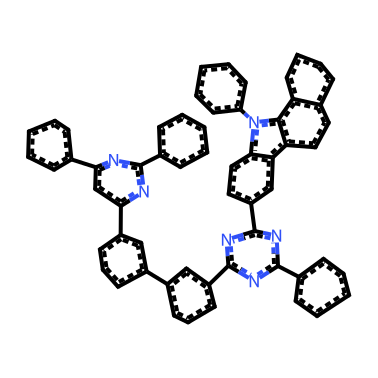 c1ccc(-c2cc(-c3cccc(-c4cccc(-c5nc(-c6ccccc6)nc(-c6ccc7c(c6)c6ccc8ccccc8c6n7-c6ccccc6)n5)c4)c3)nc(-c3ccccc3)n2)cc1